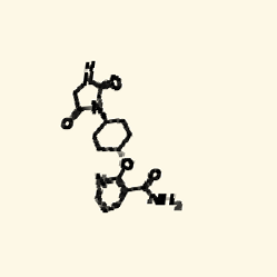 NC(=O)c1cccnc1O[C@H]1CC[C@H](N2C(=O)CNC2=O)CC1